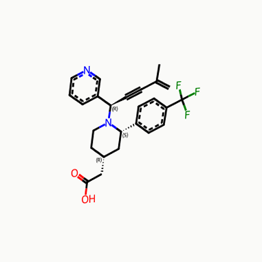 C=C(C)C#C[C@H](c1cccnc1)N1CC[C@@H](CC(=O)O)C[C@H]1c1ccc(C(F)(F)F)cc1